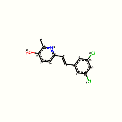 Cc1nc(C=Cc2cc(Cl)cc(Cl)c2)ccc1O